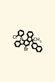 CC1(c2ccc3ccccc3c2)c2ccccc2-c2c1cc(Br)c1c3ccccc3n(-c3ccccc3Cl)c21